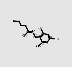 CCCCC(Cl)=NNc1c(Cl)cc(Cl)cc1Cl